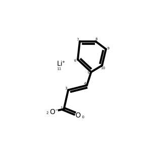 O=C([O-])C=Cc1ccccc1.[Li+]